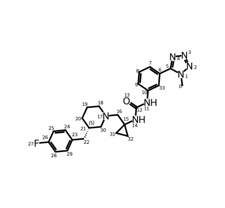 Cn1nnnc1-c1cccc(NC(=O)NC2(CN3CCC[C@@H](Cc4ccc(F)cc4)C3)CC2)c1